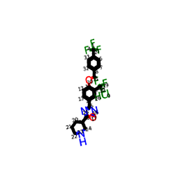 Cl.FC(F)(F)c1ccc(COc2ccc(-c3noc(C4CCCNC4)n3)cc2C(F)(F)F)cc1